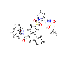 C=CS(=O)(=O)NC[C@H]1CCCN1S(=O)(=O)c1ccc(C(Cc2ccccc2)C(=O)NC23CC4CC(CC(C4)C2)C3)cc1